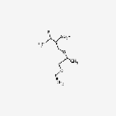 C=COCC(C)OCC(C(F)C(F)(F)F)S(=O)(=O)O